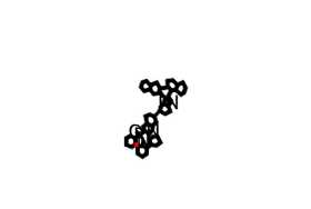 O=P(c1ccccc1)(c1cnc2cc(-c3ccc4nc5c6c7ccccc7ccc6c6cc7ccccc7cc6n5c4c3)ccc2c1)n1c2ccccc2c2ccccc21